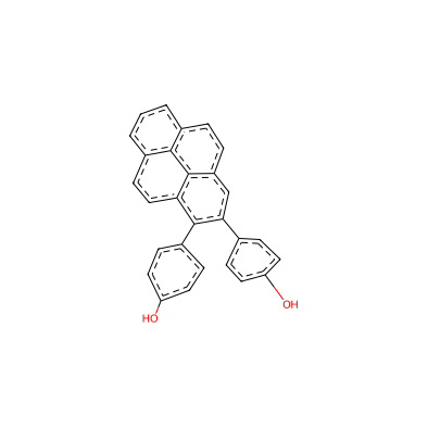 Oc1ccc(-c2cc3ccc4cccc5ccc(c2-c2ccc(O)cc2)c3c45)cc1